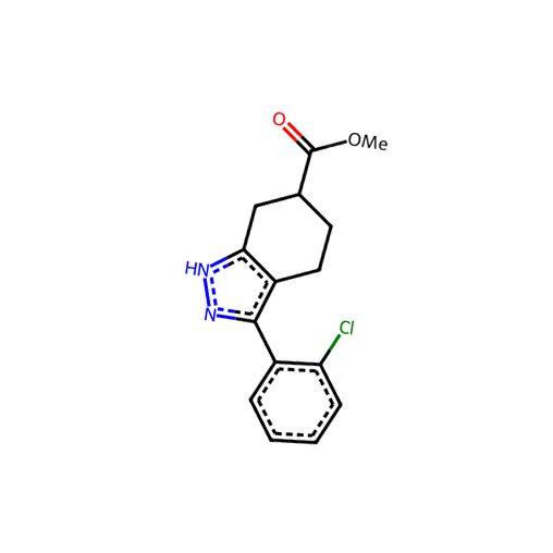 COC(=O)C1CCc2c(-c3ccccc3Cl)n[nH]c2C1